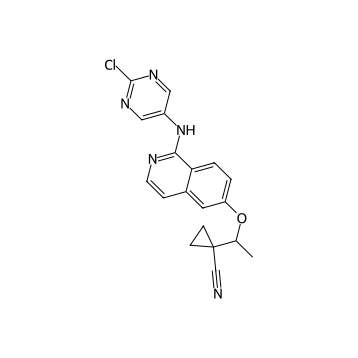 CC(Oc1ccc2c(Nc3cnc(Cl)nc3)nccc2c1)C1(C#N)CC1